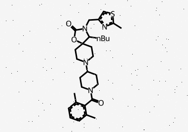 CCCCC1N(Cc2csc(C)n2)C(=O)OC12CCN(C1CCN(C(=O)c3c(C)cccc3C)CC1)CC2